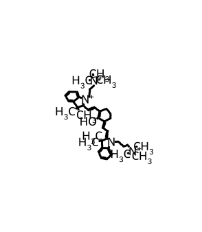 CC1(C)C(/C=C/C2=C(O)C(=C/C=C3/N(CCC[N+](C)(C)C)c4ccccc4C3(C)C)/CCC2)=[N+](CCC[N+](C)(C)C)c2ccccc21